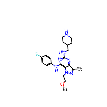 CCOCCn1nc(CC)c2nc(NCC3CCNCC3)nc(Nc3ccc(F)cc3)c21